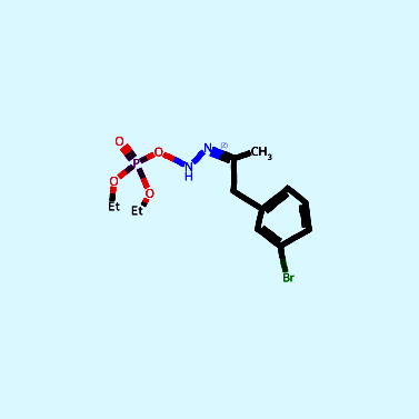 CCOP(=O)(OCC)ON/N=C(/C)Cc1cccc(Br)c1